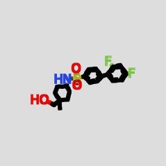 CC1(CO)CCC(NS(=O)(=O)c2ccc(-c3ccc(F)cc3F)cc2)CC1